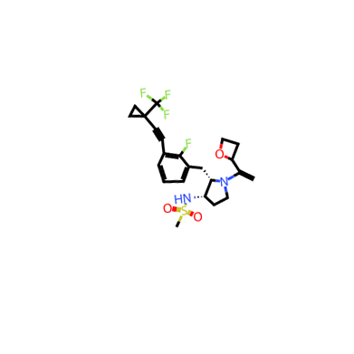 C=C(C1CCO1)N1CC[C@H](NS(C)(=O)=O)[C@@H]1Cc1cccc(C#CC2(C(F)(F)F)CC2)c1F